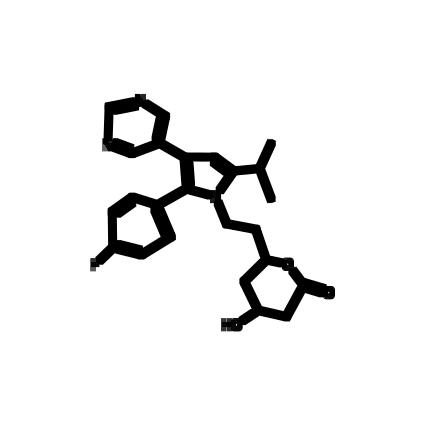 CC(C)c1cc(-c2cncnc2)c(-c2ccc(F)cc2)n1CCC1CC(O)CC(=O)O1